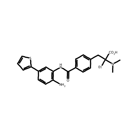 CCC(Cc1ccc(C(=O)Nc2cc(-c3cccs3)ccc2N)cc1)(C(=O)O)N(C)C